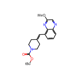 COc1cnc2cccc(C=C3CCN(C(=O)OC(C)(C)C)CC3)c2n1